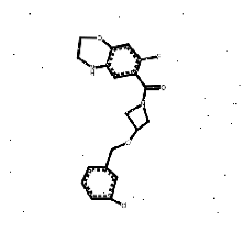 O=C(c1cc2c(cc1F)OCCN2)N1CC(OCc2cccc(Cl)c2)C1